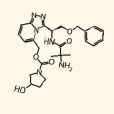 CC(C)(N)C(=O)N[C@H](COCc1ccccc1)c1nnc2cccc(COC(=O)N3CCC(O)C3)n12